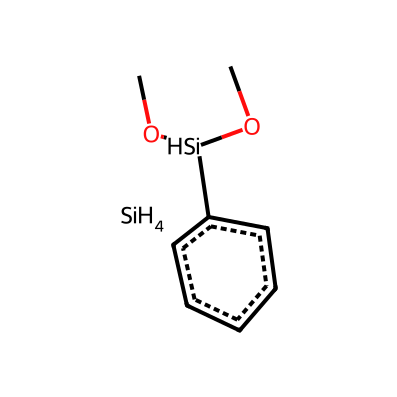 CO[SiH](OC)c1ccccc1.[SiH4]